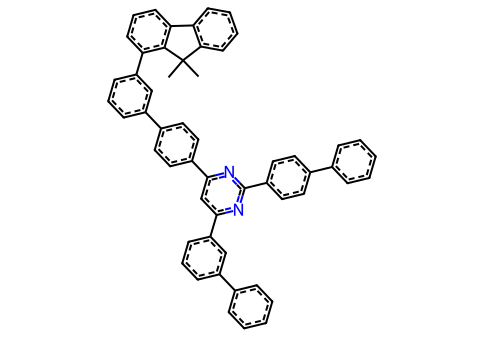 CC1(C)c2ccccc2-c2cccc(-c3cccc(-c4ccc(-c5cc(-c6cccc(-c7ccccc7)c6)nc(-c6ccc(-c7ccccc7)cc6)n5)cc4)c3)c21